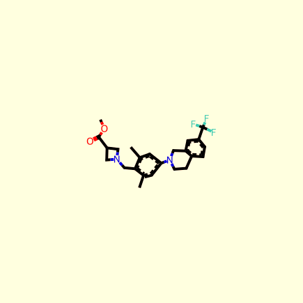 COC(=O)C1CN(Cc2c(C)cc(N3CCc4ccc(C(F)(F)F)cc4C3)cc2C)C1